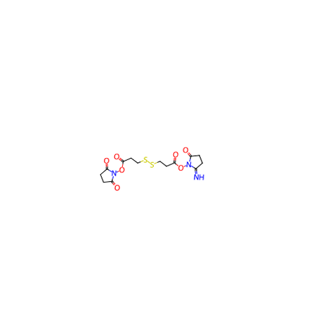 N=C1CCC(=O)N1OC(=O)CCSSCCC(=O)ON1C(=O)CCC1=O